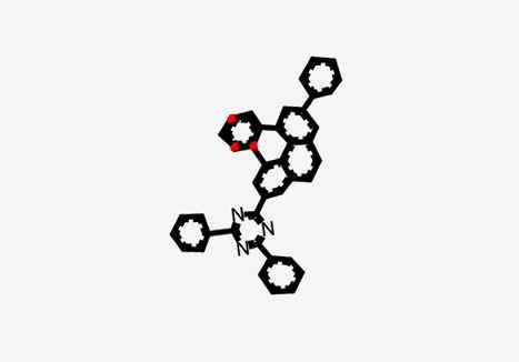 c1ccc(-c2cc(-c3ccccc3)c3c(ccc4cc(-c5nc(-c6ccccc6)nc(-c6ccccc6)n5)cc(-c5ccccc5)c43)c2)cc1